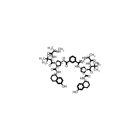 CN[C@@H](C)C(=O)N[C@H](C(=O)N1C[C@@H](NC(=O)c2cccc(C(=O)N[C@H]3C[C@@H](C(=O)N[C@@H]4CCCc5cc(O)ccc54)N(C(=O)[C@@H](NC(=O)[C@H](C)NC)C(C)(C)C)C3)c2)C[C@H]1C(=O)N[C@@H]1CCCc2cc(O)ccc21)C(C)(C)C